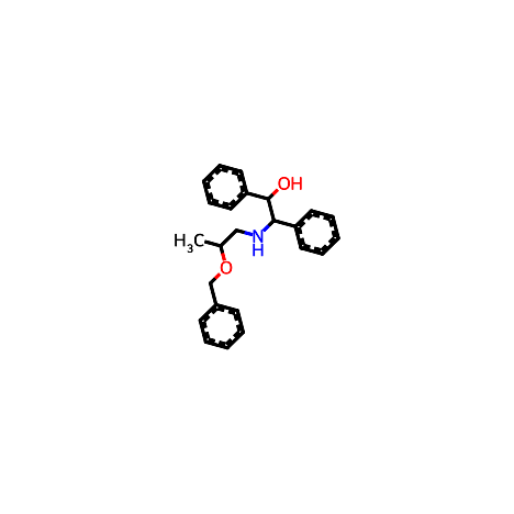 CC(CNC(c1ccccc1)C(O)c1ccccc1)OCc1ccccc1